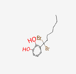 CCCCCCC(Br)(Br)c1cccc(O)c1O